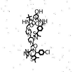 Cc1ncsc1-c1ccc([C@H](C)NC(=O)[C@@H]2C[C@@H](O)CN2C(=O)[C@@H](NC(=O)CN2CCN(C3CCN(C(=O)C[C@@H]4N=C(c5ccc(Cl)cc5)c5c(sc(C)c5C)-n5c(C)nnc54)CC3)CC2)C(C)(C)C)cc1